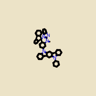 CN1c2cc(-n3c4ccccc4c4cc5c(cc43)c3ccccc3n5-c3ccccc3)ccc2C2(c3ccccc3-c3ccccc32)n2c1nc1ccccc12